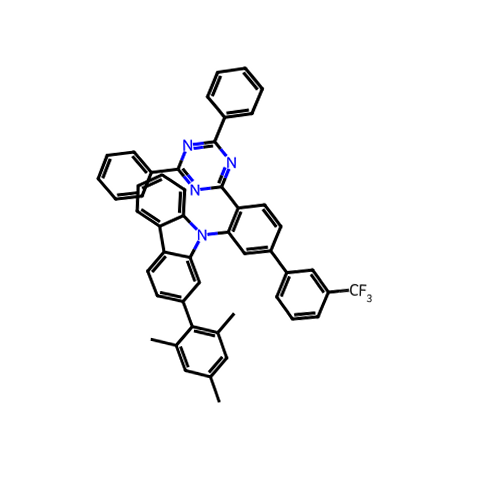 Cc1cc(C)c(-c2ccc3c4ccccc4n(-c4cc(-c5cccc(C(F)(F)F)c5)ccc4-c4nc(-c5ccccc5)nc(-c5ccccc5)n4)c3c2)c(C)c1